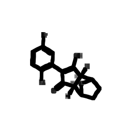 CCc1ccc(Br)cc1C1=C(O)[C@@H]2C3CCC(O3)[C@@H]2C1=O